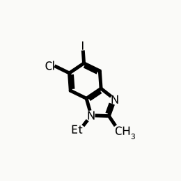 CCn1c(C)nc2cc(I)c(Cl)cc21